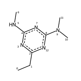 CCc1nc(NC)nc(N(C)C)n1